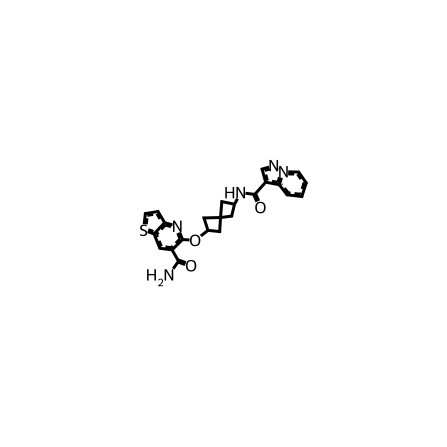 NC(=O)c1cc2sccc2nc1OC1CC2(CC(NC(=O)c3cnn4ccccc34)C2)C1